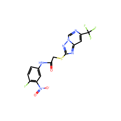 O=C(CSc1nc2cc(C(F)(F)F)ncn2n1)Nc1ccc(F)c([N+](=O)[O-])c1